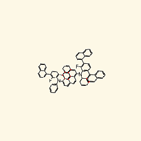 Fc1c(-c2cccc3ccccc23)ccc(-c2cccc3ccccc23)c1N(c1ccccc1)c1ccc2ccc3c(N(c4ccccc4)c4c(-c5cccc6ccccc56)ccc(-c5cccc6ccccc56)c4F)ccc4ccc1c2c43